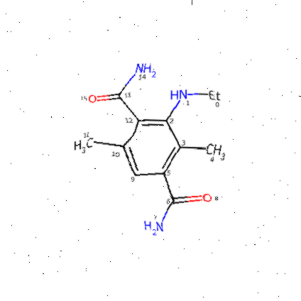 CCNc1c(C)c(C(N)=O)cc(C)c1C(N)=O